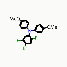 COc1ccc(N(c2ccc(OC)cc2)c2cc(F)c(Br)cc2F)cc1